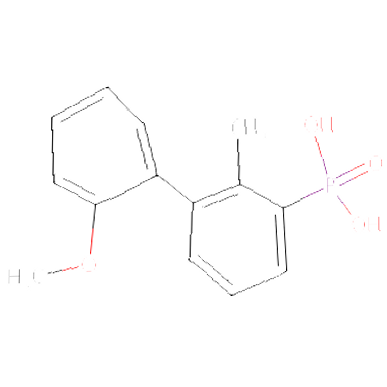 COc1ccccc1-c1cccc(P(=O)(O)O)c1C